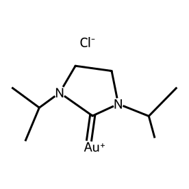 CC(C)N1CCN(C(C)C)[C]1=[Au+].[Cl-]